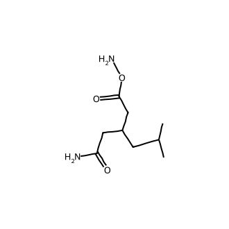 CC(C)CC(CC(N)=O)CC(=O)ON